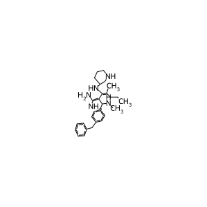 CCC/C(C)=C(/NC1CCCNC1)C(=C(N)N)C(NC)c1ccc(Cc2ccccc2)cc1